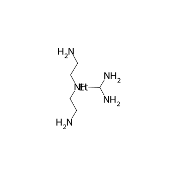 CCC(N)N.NCCNCCN